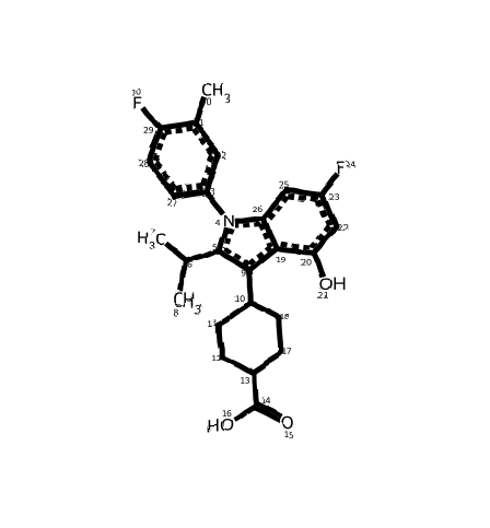 Cc1cc(-n2c(C(C)C)c(C3CCC(C(=O)O)CC3)c3c(O)cc(F)cc32)ccc1F